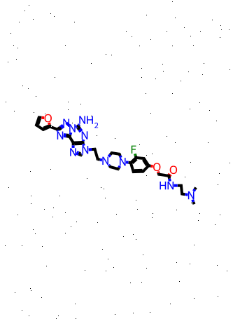 CN(C)CCNC(=O)COc1ccc(N2CCN(CCn3cnc4c3nc(N)n3nc(-c5ccco5)nc43)CC2)c(F)c1